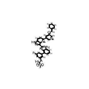 CS(=O)(=O)NCc1cc(F)cc(-c2cccc3[nH]c(-c4n[nH]c5ccc(-c6cncc(OCc7ccccc7)c6)nc45)nc23)c1